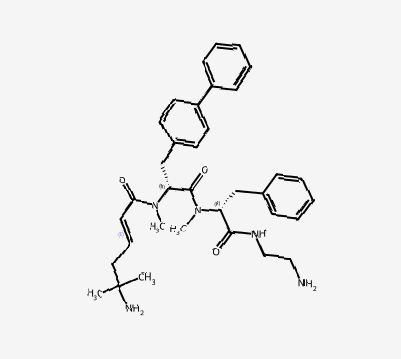 CN(C(=O)/C=C/CC(C)(C)N)[C@H](Cc1ccc(-c2ccccc2)cc1)C(=O)N(C)[C@H](Cc1ccccc1)C(=O)NCCN